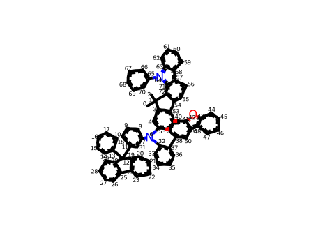 CC1(C)c2cc(N(c3cccc(C4(c5ccccc5)c5ccccc5-c5ccccc54)c3)c3ccccc3-c3ccc4oc5ccccc5c4c3)ccc2-c2ccc3c4ccccc4n(-c4ccccc4)c3c21